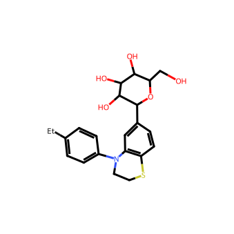 CCc1ccc(N2CCSc3ccc(C4OC(CO)C(O)C(O)C4O)cc32)cc1